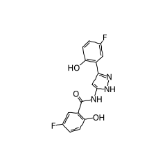 O=C(Nc1cc(-c2cc(F)ccc2O)n[nH]1)c1cc(F)ccc1O